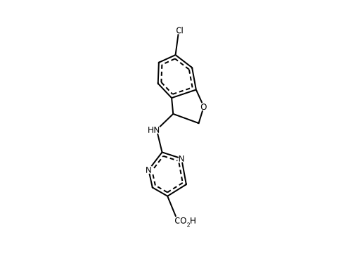 O=C(O)c1cnc(NC2COc3cc(Cl)ccc32)nc1